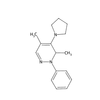 CC1=C(N2CCCC2)C(C)N(c2ccccc2)N=C1